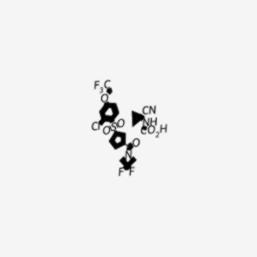 N#CC1(NC(=O)O)CC1.O=C([C@@H]1CC[C@@H](S(=O)(=O)c2ccc(OCC(F)(F)F)cc2Cl)C1)N1CC(F)(F)C1